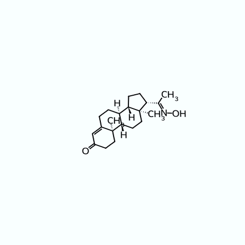 CC(=NO)[C@H]1CC[C@H]2[C@@H]3CCC4=CC(=O)CC[C@]4(C)[C@H]3CC[C@]12C